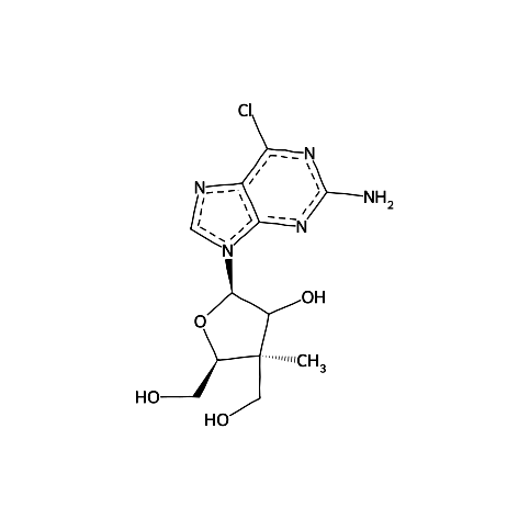 C[C@@]1(CO)C(O)[C@H](n2cnc3c(Cl)nc(N)nc32)O[C@@H]1CO